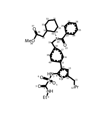 CCNC(=O)S(=O)(=O)Nc1sc(CC(C)C)cc1-c1ccc(CN(C(=O)c2ccccc2)[C@H]2CCCCC2CC(=O)OC)cc1